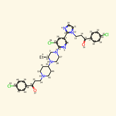 CC[C@H]1CN(c2ncc(-c3nccn3CCC(=O)c3ccc(Cl)cc3)cc2Cl)CCN1C1CCN(CCC(=O)c2ccc(Cl)cc2)CC1